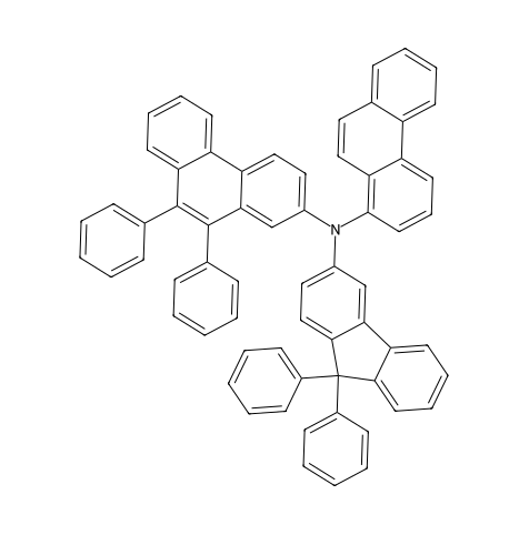 c1ccc(-c2c(-c3ccccc3)c3cc(N(c4ccc5c(c4)-c4ccccc4C5(c4ccccc4)c4ccccc4)c4cccc5c4ccc4ccccc45)ccc3c3ccccc23)cc1